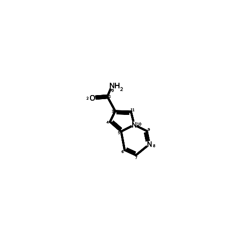 NC(=O)c1cc2ccncn2c1